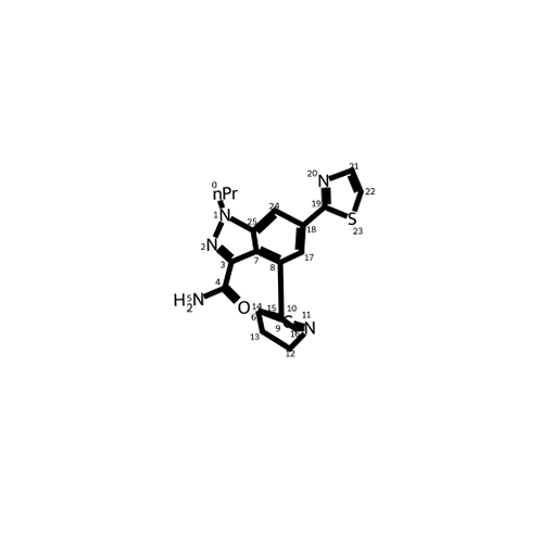 CCCn1nc(C(N)=O)c2c(C3CN4CCC3CC4)cc(-c3nccs3)cc21